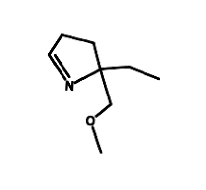 CCC1(COC)CCC=N1